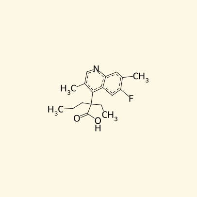 CCCC(CC)(C(=O)O)c1c(C)cnc2cc(C)c(F)cc12